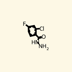 NNC(=O)c1ccc(F)cc1Cl